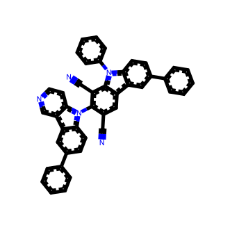 N#Cc1cc2c3cc(-c4ccccc4)ccc3n(-c3ccccc3)c2c(C#N)c1-n1c2ccncc2c2cc(-c3ccccc3)ccc21